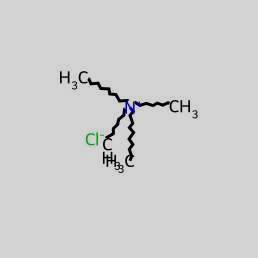 CCCCCCCCCC[N+](CCCCCCCC)(CCCCCCCC)CCCCCCCCCC.[Cl-]